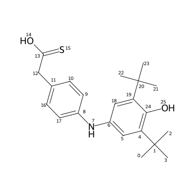 CC(C)(C)c1cc(Nc2ccc(CC(O)=S)cc2)cc(C(C)(C)C)c1O